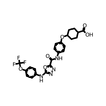 O=C(Nc1ccc(OC2CCC(C(=O)O)CC2)cc1)c1nnc(Nc2ccc(OC(F)(F)F)cc2)o1